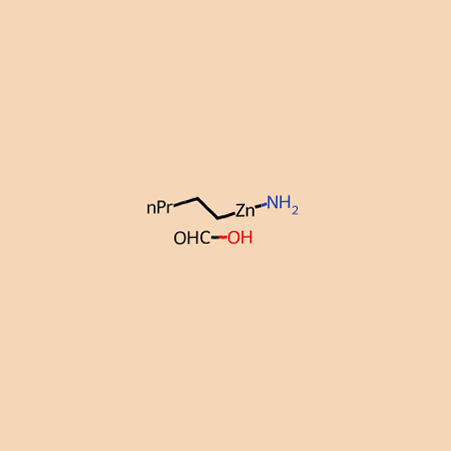 CCCC[CH2][Zn][NH2].O=CO